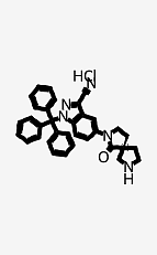 Cl.N#Cc1nn(C(c2ccccc2)(c2ccccc2)c2ccccc2)c2ccc(N3CC[C@]4(CCNC4)C3=O)cc12